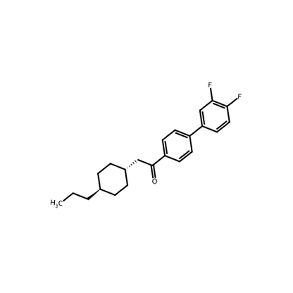 CCC[C@H]1CC[C@H](CC(=O)c2ccc(-c3ccc(F)c(F)c3)cc2)CC1